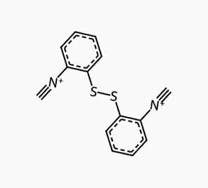 C#[N+]c1ccccc1SSc1ccccc1[N+]#C